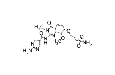 CCn1c(NC(=O)c2cnc(N)nc2)nc2c(OC)c(OCCCS(N)(=O)=O)ccc2c1=O